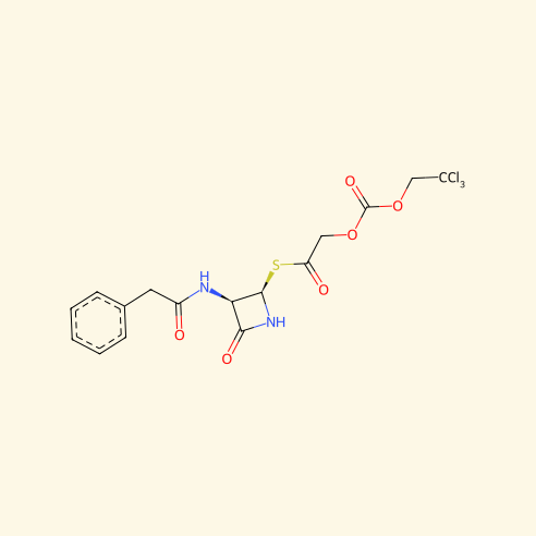 O=C(Cc1ccccc1)N[C@@H]1C(=O)N[C@@H]1SC(=O)COC(=O)OCC(Cl)(Cl)Cl